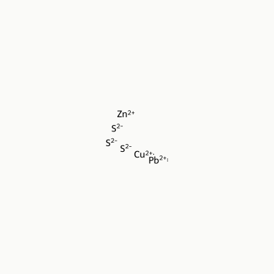 [Cu+2].[Pb+2].[S-2].[S-2].[S-2].[Zn+2]